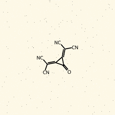 N#CC(C#N)=c1c(=O)c1=C(C#N)C#N